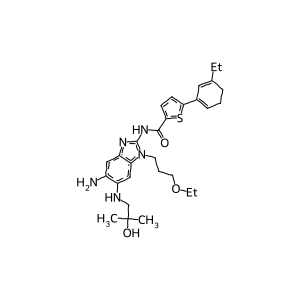 CCOCCCn1c(NC(=O)c2ccc(C3=CCCC(CC)=C3)s2)nc2cc(N)c(NCC(C)(C)O)cc21